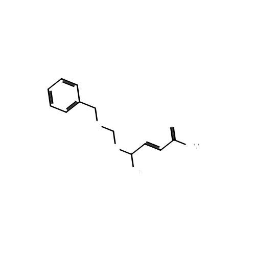 COC(=O)C=CC(OCOCc1ccccc1)C(C)C